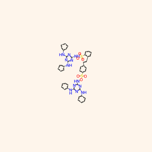 O=S(=O)(ONc1nc(Nc2ccccc2)nc(Nc2ccccc2)n1)c1ccc(C=Cc2ccccc2S(=O)(=O)ONc2nc(Nc3ccccc3)nc(Nc3ccccc3)n2)cc1